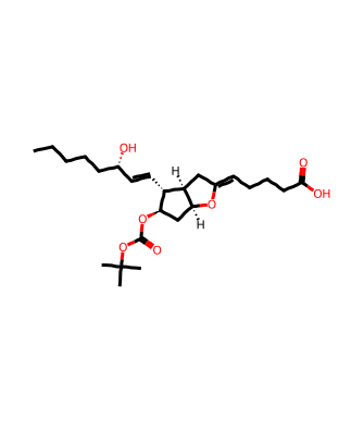 CCCCC[C@H](O)/C=C/[C@@H]1[C@H]2C/C(=C/CCCC(=O)O)O[C@H]2C[C@H]1OC(=O)OC(C)(C)C